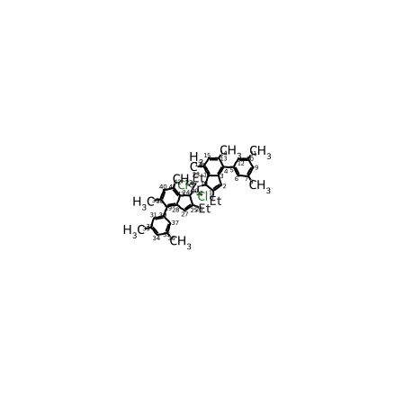 CCC1=Cc2c(-c3cc(C)cc(C)c3)c(C)cc(C)c2[CH]1[Zr]([Cl])([Cl])([CH2]C)[CH]1C(CC)=Cc2c(-c3cc(C)cc(C)c3)c(C)cc(C)c21